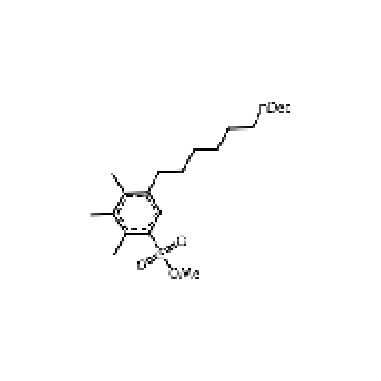 CCCCCCCCCCCCCCCCc1cc(S(=O)(=O)OC)c(C)c(C)c1C